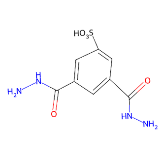 NNC(=O)c1cc(C(=O)NN)cc(S(=O)(=O)O)c1